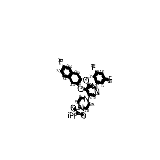 CC(C)S(=O)(=O)N1CCN(c2cnn(-c3cc(F)cc(F)c3)c(=O)c2OC2CCc3cc(F)ccc3C2)CC1